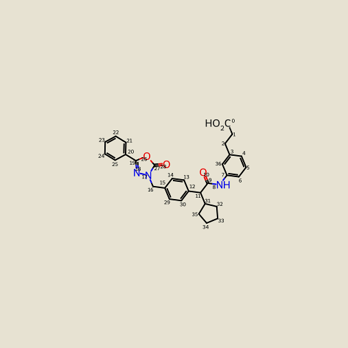 O=C(O)CCc1cccc(NC(=O)C(c2ccc(Cn3nc(-c4ccccc4)oc3=O)cc2)C2CCCC2)c1